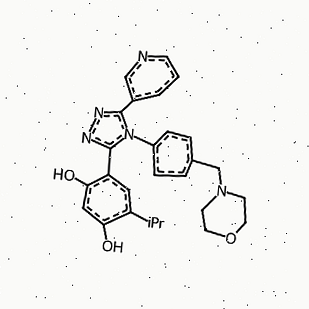 CC(C)c1cc(-c2nnc(-c3cccnc3)n2-c2ccc(CN3CCOCC3)cc2)c(O)cc1O